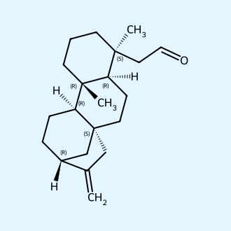 C=C1C[C@@]23CC[C@@H]4[C@](C)(CC=O)CCC[C@@]4(C)[C@@H]2CC[C@@H]1C3